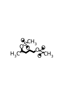 C[C@H](CCCOS(C)(=O)=O)OS(C)(=O)=O